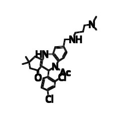 CC(=O)N1c2ccc(CNCCCN(C)C)cc2NC2=C(C(=O)CC(C)(C)C2)C1c1ccc(Cl)cc1Cl